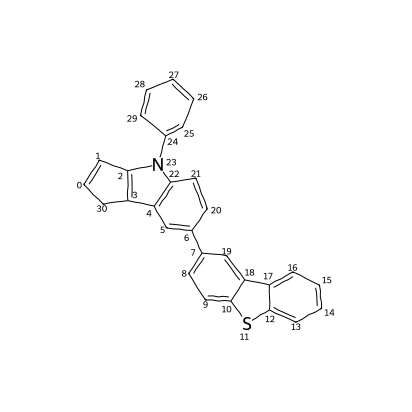 C1=Cc2c(c3cc(-c4ccc5sc6ccccc6c5c4)ccc3n2-c2ccccc2)C1